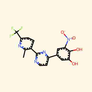 Cc1nc(C(F)(F)F)ccc1-c1nccc(-c2cc(O)c(O)c([N+](=O)[O-])c2)n1